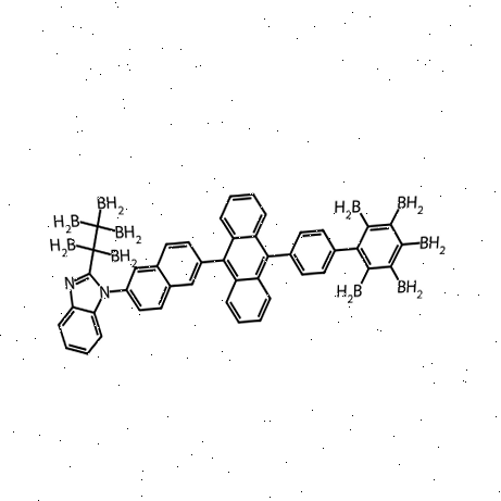 Bc1c(B)c(B)c(-c2ccc(-c3c4ccccc4c(-c4ccc5cc(-n6c(C(B)(B)C(B)(B)B)nc7ccccc76)ccc5c4)c4ccccc34)cc2)c(B)c1B